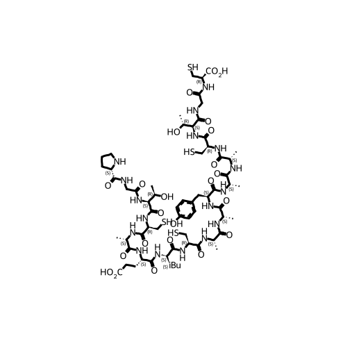 CC[C@H](C)[C@H](NC(=O)[C@H](CCC(=O)O)NC(=O)[C@H](C)NC(=O)[C@H](CS)NC(=O)[C@@H](NC(=O)CNC(=O)[C@@H]1CCCN1)[C@@H](C)O)C(=O)N[C@@H](CS)C(=O)N[C@@H](C)C(=O)N[C@@H](C)C(=O)N[C@@H](Cc1ccc(O)cc1)C(=O)N[C@@H](C)C(=O)N[C@@H](C)C(=O)N[C@@H](CS)C(=O)N[C@H](C(=O)NCC(=O)N[C@@H](CS)C(=O)O)[C@@H](C)O